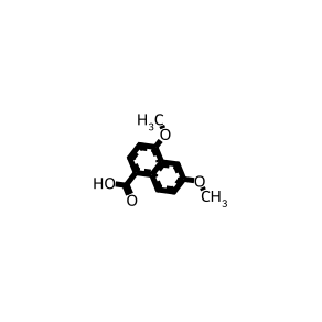 COc1ccc2c(C(=O)O)ccc(OC)c2c1